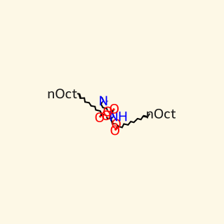 CCCCCCCCC=CCCCCCCCC(=O)OCC(COC(=O)CCCCCCCC=CCCCCCCCC)NC(=O)OCCCN(C)C